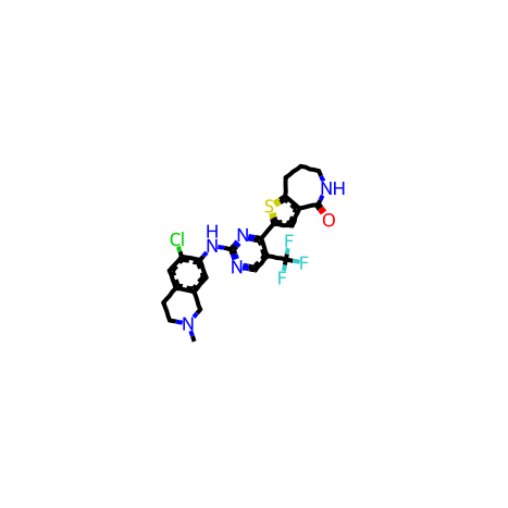 CN1CCc2cc(Cl)c(Nc3ncc(C(F)(F)F)c(-c4cc5c(s4)CCCNC5=O)n3)cc2C1